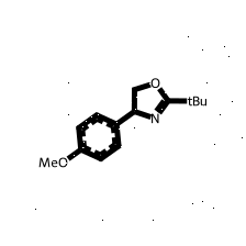 COc1ccc(C2COC(C(C)(C)C)=N2)cc1